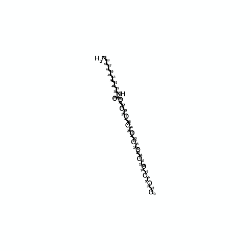 COCCOCCOCCOCCOCCOCCOCCOCCOCCOCCOCCOC(=O)NCCCCCCCCCCCCN